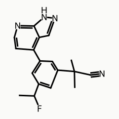 CC(F)c1cc(-c2ccnc3[nH]ncc23)cc(C(C)(C)C#N)c1